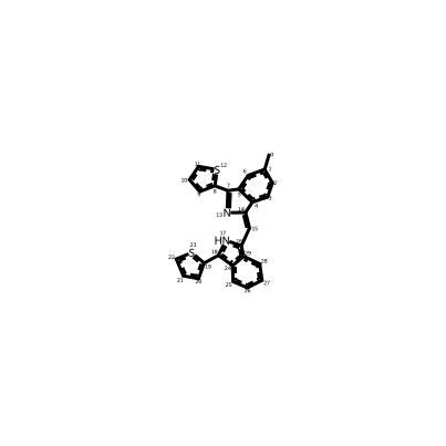 Cc1ccc2c(c1)C(c1cccs1)=N/C2=C\c1[nH]c(-c2cccs2)c2ccccc12